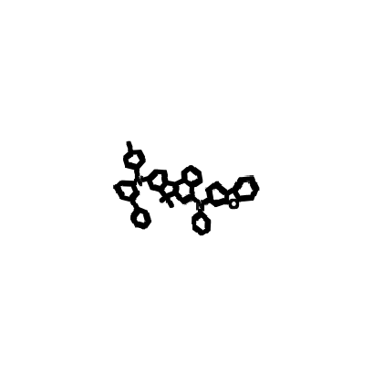 Cc1ccc(N(c2cccc(-c3ccccc3)c2)c2ccc3c(c2)C(C)(C)c2cc(N(c4ccccc4)c4ccc5c(c4)oc4ccccc45)c4ccccc4c2-3)cc1